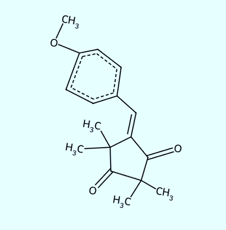 COc1ccc(C=C2C(=O)C(C)(C)C(=O)C2(C)C)cc1